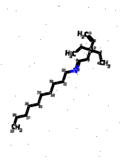 C=C[Si](CC)(CC)CC=NCCCCCCCCCC